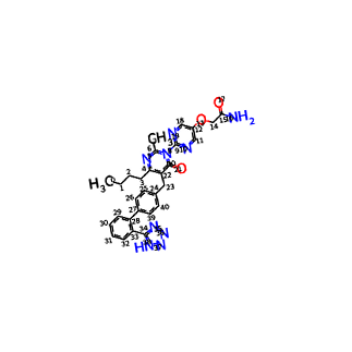 CCCCc1nc(C)n(-c2ncc(OCC(N)=O)cn2)c(=O)c1Cc1ccc(-c2ccccc2-c2nnn[nH]2)cc1